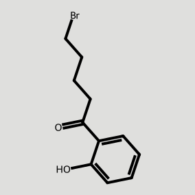 O=C(CCCCBr)c1ccccc1O